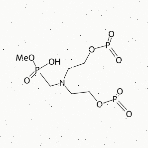 COP(=O)(O)CN(CCOP(=O)=O)CCOP(=O)=O